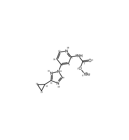 CC(C)(C)OC(=O)Nc1cc(-n2cnc(C3CC3)n2)ccn1